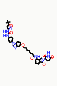 CC(C)(C)c1cc(NC(=O)Nc2ccc(-n3cnc4cc(OCCCCCCC(=O)Nc5cccc6c5CN(C5CCC(=O)NC5=O)C6=O)ccc43)cc2)no1